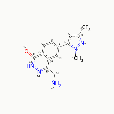 Cn1nc(C(F)(F)F)cc1-c1ccc2c(=O)[nH]nc(CN)c2c1